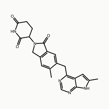 Cc1cc2c(Cc3cc4c(cc3C)CN(C3CCC(=O)NC3=O)C4=O)ncnc2[nH]1